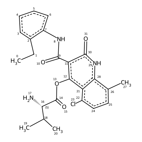 CCc1ccccc1NC(=O)c1c(OC(=O)[C@@H](N)C(C)C)c2c(Cl)ccc(C)c2[nH]c1=O